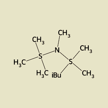 CCC(C)S(C)(C)N(C)S(C)(C)C